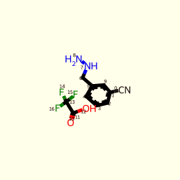 N#Cc1cccc(CNN)c1.O=C(O)C(F)(F)F